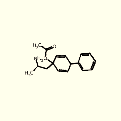 CC(=O)OC1(C[C@@H](C)N)C=CC(c2ccccc2)C=C1